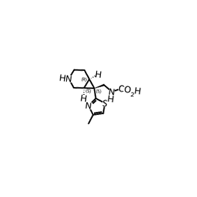 Cc1csc([C@@]2(CNC(=O)O)[C@@H]3CCNC[C@@H]32)n1